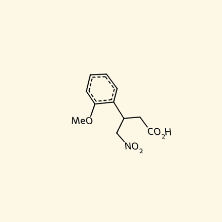 COc1ccccc1C(CC(=O)O)C[N+](=O)[O-]